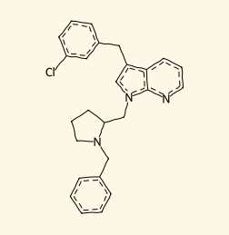 Clc1cccc(Cc2cn(CC3CCCN3Cc3ccccc3)c3ncccc23)c1